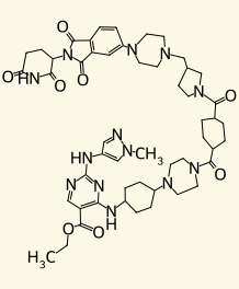 CCOC(=O)c1cnc(Nc2cnn(C)c2)nc1NC1CCC(N2CCN(C(=O)C3CCC(C(=O)N4CCC(CN5CCN(c6ccc7c(c6)C(=O)N(C6CCC(=O)NC6=O)C7=O)CC5)C4)CC3)CC2)CC1